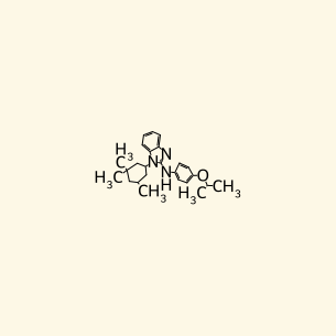 CC1CC(n2c(Nc3ccc(OC(C)C)cc3)nc3ccccc32)CC(C)(C)C1